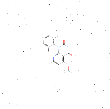 CCC(CC)Oc1cc(C)nc2c1c(=O)[nH]c(=O)n2-c1c(C)cc(C)cc1C